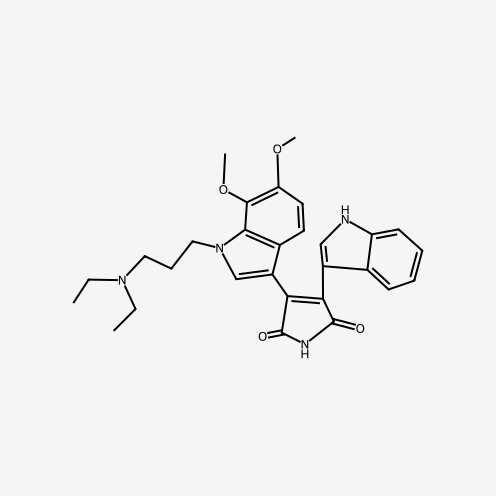 CCN(CC)CCCn1cc(C2=C(c3c[nH]c4ccccc34)C(=O)NC2=O)c2ccc(OC)c(OC)c21